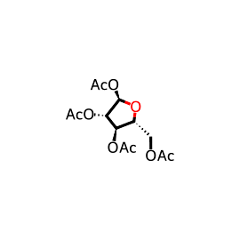 CC(=O)OC[C@H]1O[C@H](OC(C)=O)[C@@H](OC(C)=O)[C@@H]1OC(C)=O